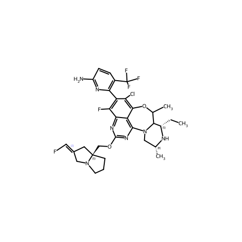 CC[C@@H]1N[C@H](C)CN2c3nc(OC[C@@]45CCCN4C/C(=C\F)C5)nc4c(F)c(-c5nc(N)ccc5C(F)(F)F)c(Cl)c(c34)OC(C)C12